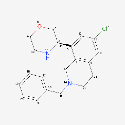 Clc1cc2c(c([C@@H]3COCCN3)c1)CN(Cc1ccccc1)CC2